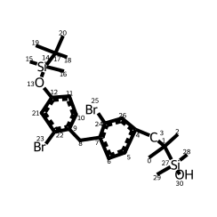 CC(C)(Cc1ccc(Cc2ccc(O[Si](C)(C)C(C)(C)C)cc2Br)c(Br)c1)[Si](C)(C)O